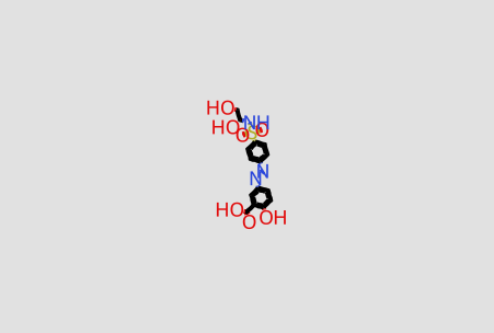 O=C(O)c1cc(N=Nc2ccc(S(=O)(=O)N[C@@H](O)CO)cc2)ccc1O